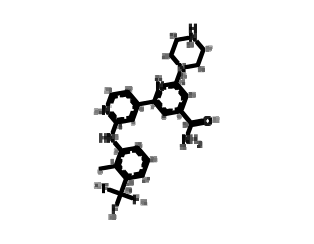 Cc1c(Nc2cc(-c3cc(C(N)=O)cc(N4CCNCC4)n3)ccn2)cccc1C(F)(F)F